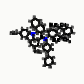 CCCCc1ccc2c(c1)c1cc(CCCC)cc3c1n2-c1c2c(cc4ccccc14)-c1cc4c(cc1N(c1ccc(-c5ccccc5)cc1)B23)C(C)(C)c1ccccc1C4(C)C